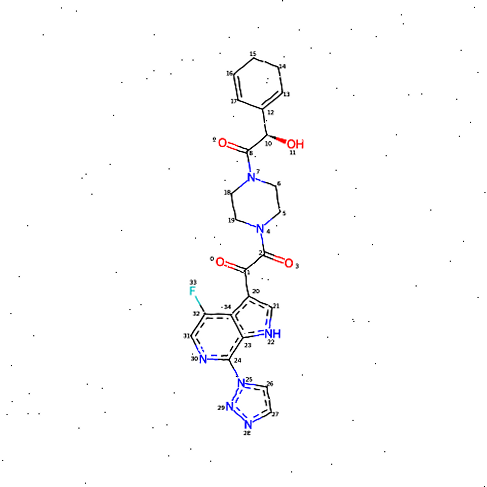 O=C(C(=O)N1CCN(C(=O)[C@H](O)C2=CCCC=C2)CC1)c1c[nH]c2c(-n3ccnn3)ncc(F)c12